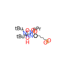 CCCOP1(=O)N=C(C2=C(O)[C@H](C(C)(C)C)N(CCC(C)(C)C)C2=O)Nc2ccc(CCCCCS(C)(=O)=O)cc21